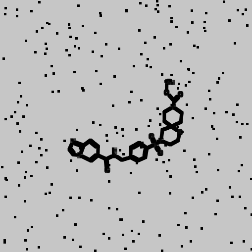 CC(C)(C)OC(=O)N1CCC2(CC1)CN(S(=O)(=O)c1ccc(CNC(=O)c3ccc4nccn4c3)cc1)CCO2